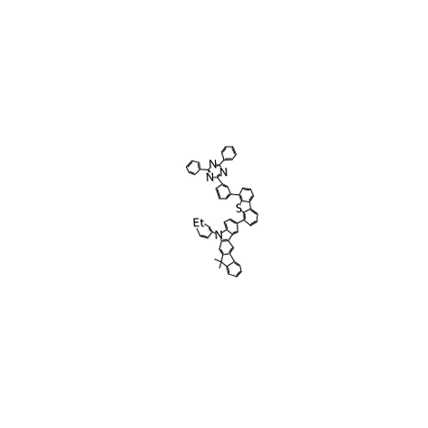 C/C=C\C(=C/CC)n1c2ccc(-c3cccc4c3sc3c(-c5cccc(-c6nc(-c7ccccc7)nc(-c7ccccc7)n6)c5)cccc34)cc2c2cc3c(cc21)C(C)(C)c1ccccc1-3